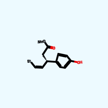 CC/C=C\[C@H](CC(=O)OC)c1ccc(O)cc1